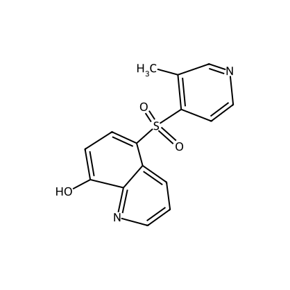 Cc1cnccc1S(=O)(=O)c1ccc(O)c2ncccc12